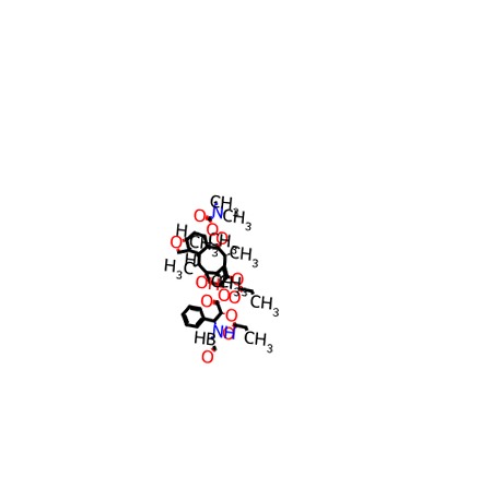 CCC(=O)OC1=C2[C@@H](C)C(=O)[C@]3(C)[C@@H](OC(=O)N(C)C)C[C@H]4OC[C@@]4(C)[C@H]3[C@H](C)[C@](O)(C[C@@H]1OC(=O)[C@H](OC(=O)CC)[C@@H](NBC=O)c1ccccc1)C2(C)C